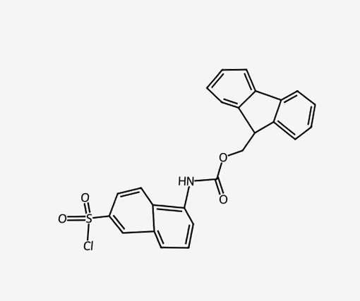 O=C(Nc1cccc2cc(S(=O)(=O)Cl)ccc12)OCC1c2ccccc2-c2ccccc21